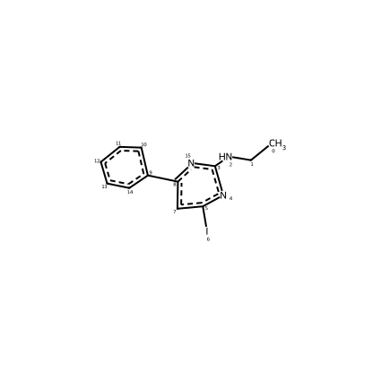 CCNc1nc(I)cc(-c2ccccc2)n1